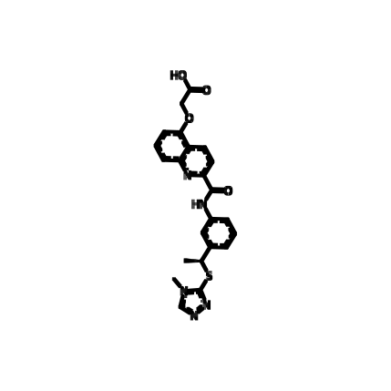 C[C@H](Sc1nncn1C)c1cccc(NC(=O)c2ccc3c(OCC(=O)O)cccc3n2)c1